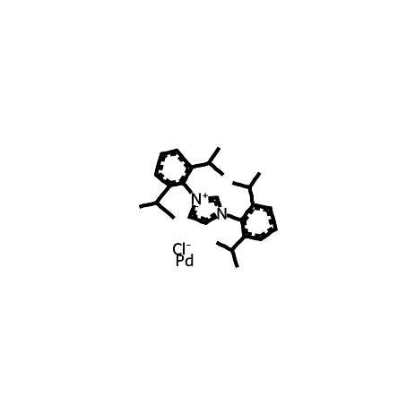 CC(C)c1cccc(C(C)C)c1-n1cc[n+](-c2c(C(C)C)cccc2C(C)C)c1.[Cl-].[Pd]